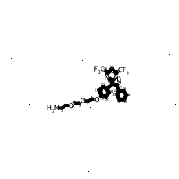 NCCOCCOCCOc1ccc(-c2c(-c3ccccc3)nn3c(C(F)(F)F)cc(C(F)(F)F)nc23)cc1